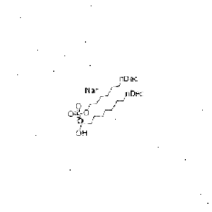 CCCCCCCCCCCCCCCCCCO.CCCCCCCCCCCCCCCCOS(=O)(=O)[O-].[Na+]